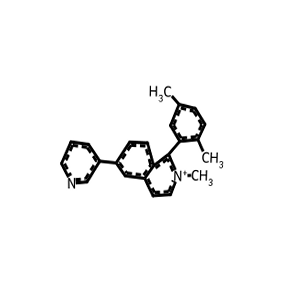 Cc1ccc(C)c(-c2c3ccc(-c4cccnc4)cc3cc[n+]2C)c1